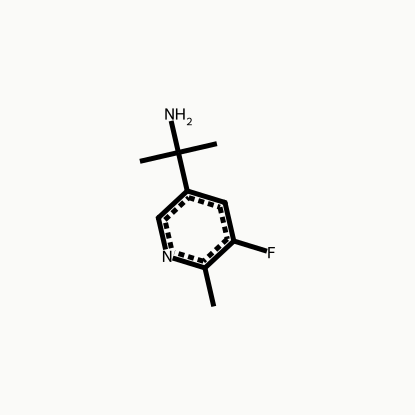 Cc1ncc(C(C)(C)N)cc1F